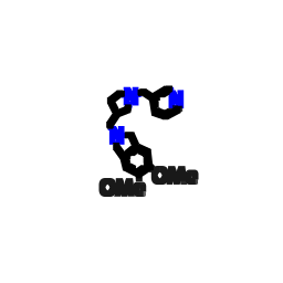 COc1cc2c(cc1OC)CN(CC1CCN(Cc3cccnc3)C1)C2